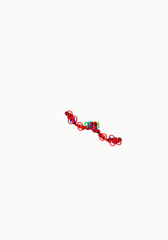 O=C(CCCc1ccc(-n2c(=O)c3ccc4oc5ccccc5c5ccc(c2=O)c3c45)cc1)Oc1ccc(-c2ccc(C3=N/C(=C(/c4c(Cl)cccc4Cl)c4c(-c5ccccc5)cc(-c5ccc(-c6ccc(OC(=O)CCCc7ccc(-n8c(=O)c9ccc%10oc%11ccccc%11c%11ccc(c8=O)c9c%10%11)cc7)cc6)cc5)n4B(F)F)C(c4ccccc4)=C3)cc2)cc1